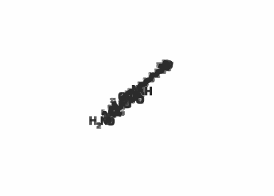 Cc1cc(N(C)C(N)=O)cc(C)c1CCS(=O)(=O)N1CCC2(CC1)N=C(CCCCCCCCC1(C)COC1)NC2=O